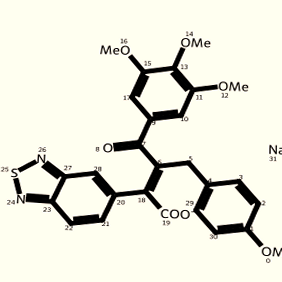 COc1ccc(CC(C(=O)c2cc(OC)c(OC)c(OC)c2)=C(C(=O)[O-])c2ccc3nsnc3c2)cc1.[Na+]